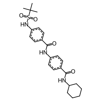 CC(C)(C)S(=O)(=O)Nc1ccc(C(=O)Nc2ccc(C(=O)NC3CCCCC3)cc2)cc1